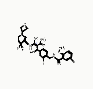 COc1ccc(F)cc1C(=O)NCc1ccc(C(=N)/C(C(N)=O)=C(/N)NC2CN(C3COC3)CCC2(F)F)cc1F